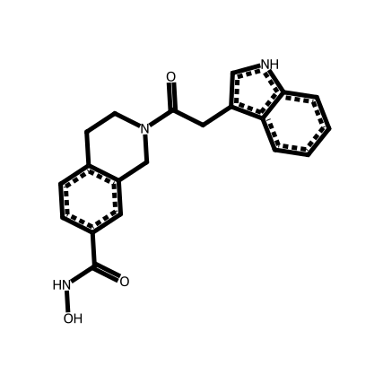 O=C(NO)c1ccc2c(c1)CN(C(=O)Cc1c[nH]c3ccccc13)CC2